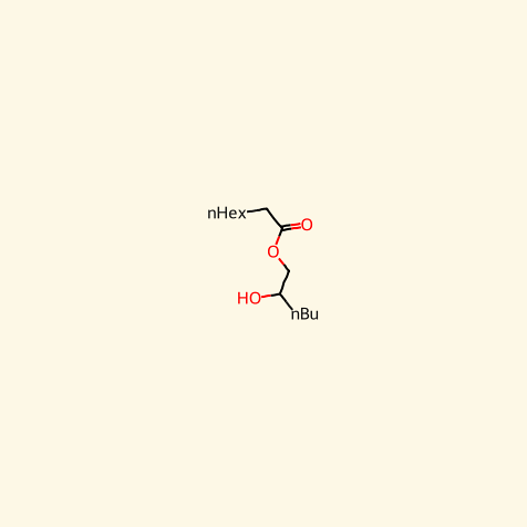 CCCCCCCC(=O)OCC(O)CCCC